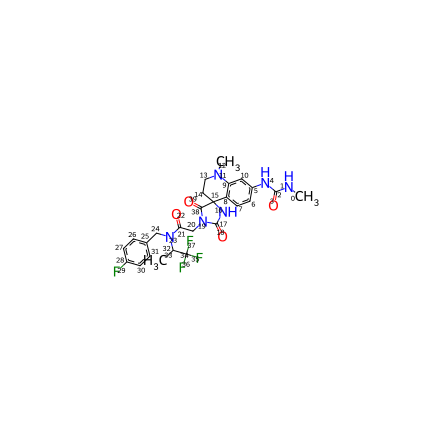 CNC(=O)Nc1ccc2c(c1)N(C)CCC21NC(=O)N(CC(=O)N(Cc2ccc(F)cc2)C(C)C(F)(F)F)C1=O